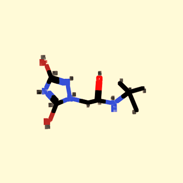 CC(C)(C)NC(=O)Cn1nc(Br)nc1Br